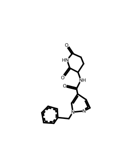 O=C1CCC(NC(=O)C2=CN(Cc3ccccc3)N=C=C2)C(=O)N1